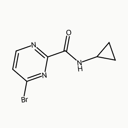 O=C(NC1CC1)c1nccc(Br)n1